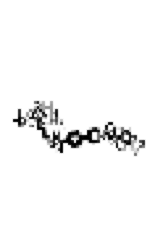 CC(C)(C)OC(=O)N1CC=C(c2ccc(-c3ncn(CCCC(C)(C)[Si](C)(C)O)n3)cc2)CC1